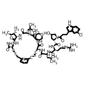 CC[C@H](C)[C@@H]1NC(=O)[C@H](CC(C)C)NC(=O)C2(CCOCC2)NC(=O)[C@@H](NC(=O)[C@@H](CC(C)C)NC(=O)[C@H](CCCNC(=N)N)NC(=O)[C@@H]2C[C@@H](O)CN2C(=O)CCc2c[nH]c3ccc(Cl)cc23)CSCc2cccc(n2)CSC[C@@H](C(N)=O)NC1=O